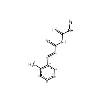 CCNC(=N)NC(=O)/C=C/c1ccccc1C